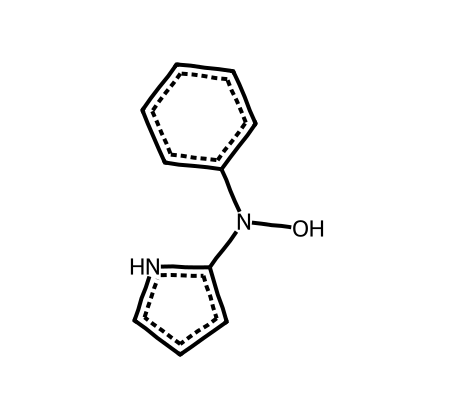 ON(c1ccccc1)c1ccc[nH]1